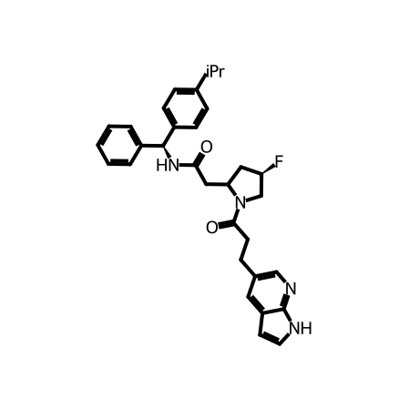 CC(C)c1ccc([C@@H](NC(=O)CC2C[C@@H](F)CN2C(=O)CCc2cnc3[nH]ccc3c2)c2ccccc2)cc1